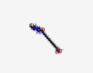 CCN1CCN(c2ccc(C(=O)NCCCCCCCCCCCCCCCCO[N+](=O)[O-])cn2)CC1